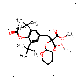 COC(=O)C(Cc1cc(C(C)(C)C)c(OC(C)=O)c(C(C)(C)C)c1)(OC1CCCCO1)C(=O)OC